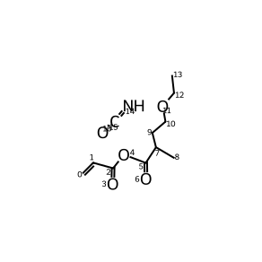 C=CC(=O)OC(=O)C(C)CCOCC.N=C=O